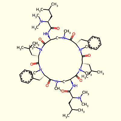 CC(C)C[C@@H](C(=O)N[C@H]1CN(C)C(=O)[C@H](Cc2ccccc2)N(C)C(=O)[C@H](CC(C)C)N(C)C(=O)[C@@H](NC(=O)[C@H](CC(C)C)N(C)C)CN(C)C(=O)[C@H](Cc2ccccc2)N(C)C(=O)[C@H](CC(C)C)N(C)C1=O)N(C)C